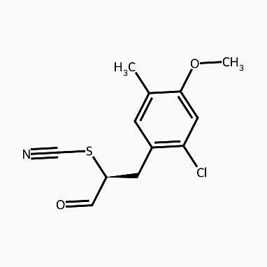 COc1cc(Cl)c(C[C@@H](C=O)SC#N)cc1C